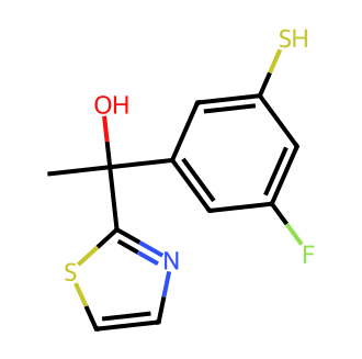 CC(O)(c1cc(F)cc(S)c1)c1nccs1